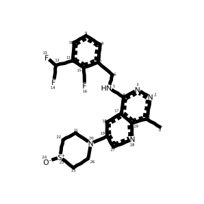 Cc1nnc(NCc2cccc(C(F)F)c2F)c2cc(N3CC[S+]([O-])CC3)cnc12